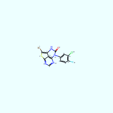 O=C1Nc2c(Br)sc3ncnc(c23)N1c1ccc(F)c(Cl)c1